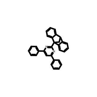 c1ccc(-c2cc(-c3ccccc3)nc(C34CC(c5ccccc53)c3ccccc34)n2)cc1